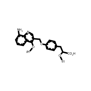 CCOC(Cc1ccc(OCc2cnc3c(N)cccc3c2OC(C)C)cc1)C(=O)O